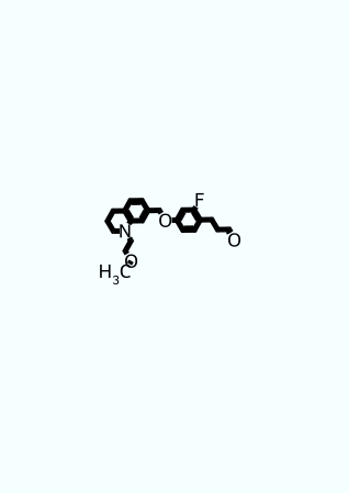 COCCN1CCCc2ccc(COc3ccc(CCC=O)c(F)c3)cc21